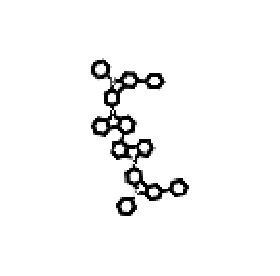 c1ccc(-c2ccc3c(c2)c2cc(-n4c5ccccc5c5c(-c6cccc7c6c6ccccc6n7-c6ccc7c(c6)c6cc(-c8ccccc8)ccc6n7-c6ccccc6)cccc54)ccc2n3-c2ccccc2)cc1